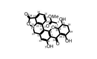 COC(=O)C[C@@]12Oc3c(c(O)cc4c3-c3cccc5c(=O)on(c35)C4)C(=O)C1=C(O)CC[C@@H]2O